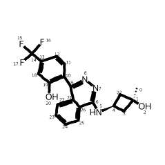 C[C@]1(O)C[C@@H](Nc2nnc(-c3ccc(C(F)(F)F)cc3O)c3ccccc23)C1